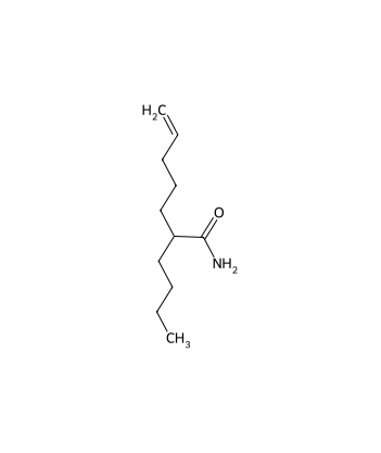 C=CCCCC(CCCC)C(N)=O